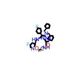 C[C@H]1CNC(=O)c2cnn3c(N(Cc4ccccc4)Cc4ccccc4)c(-c4ccc(F)cc4)c(nc23)NCc2cc(F)cnc2O1